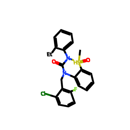 CCc1ccccc1N1C(=O)N(Cc2c(F)cccc2Cl)c2ccccc2[SH]1(C)=O